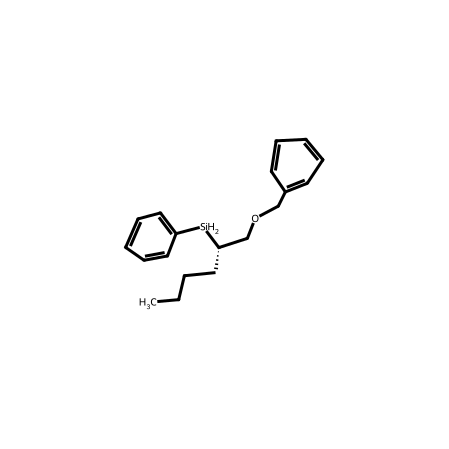 CCCC[C@@H](COCc1ccccc1)[SiH2]c1ccccc1